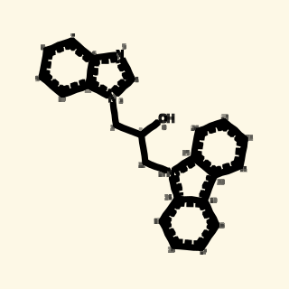 OC(Cn1cnc2ccccc21)Cn1c2ccccc2c2ccccc21